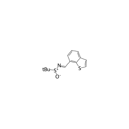 CC(C)(C)[S+]([O-])N=Cc1cccc2ccsc12